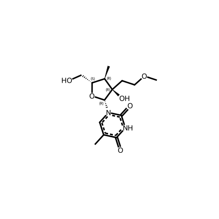 COCC[C@@]1(O)[C@H](C)[C@@H](CO)O[C@H]1n1cc(C)c(=O)[nH]c1=O